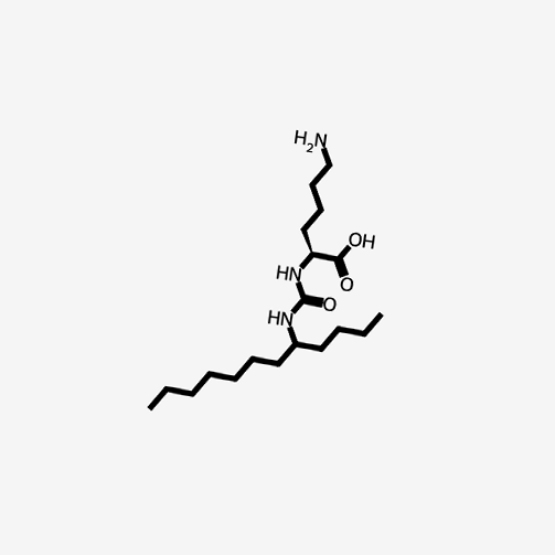 CCCCCCCC(CCCC)NC(=O)N[C@@H](CCCCN)C(=O)O